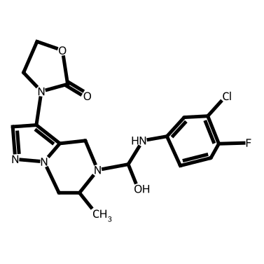 CC1Cn2ncc(N3CCOC3=O)c2CN1C(O)Nc1ccc(F)c(Cl)c1